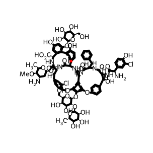 CO[C@H]1[C@H](C)O[C@@H](O[C@@H]2c3ccc(c(Cl)c3)Oc3cc4cc(c3O[C@@H]3O[C@H](CO)[C@@H](O)[C@H](O)[C@H]3O[C@@H]3O[C@@H](C)[C@H](O)[C@@H](O)[C@H]3O)Oc3ccc(cc3)[C@@H](O)[C@@H](NC(=O)[C@H](N)c3ccc(O)c(Cl)c3)C(=O)N[C@@H](Cc3ccccc3)C(=O)N[C@H]4C(=O)N[C@H]3C(=O)N[C@@H]2C(=O)N[C@H](C(=O)O)c2cc(O)cc(O[C@H]4O[C@H](CO)[C@@H](O)[C@H](O)[C@@H]4O)c2-c2cc3ccc2O)C[C@@H]1N